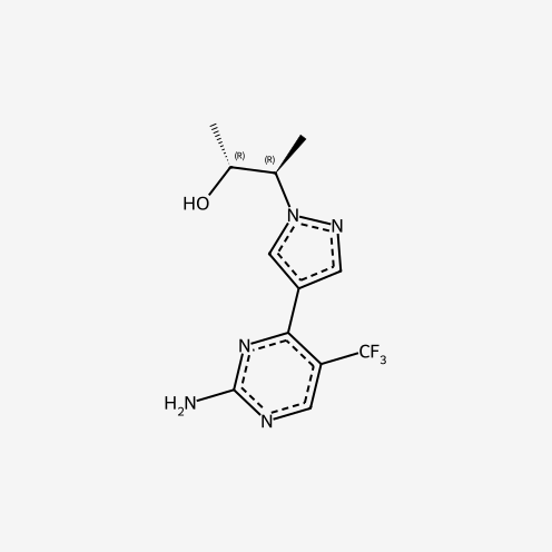 C[C@H]([C@@H](C)O)n1cc(-c2nc(N)ncc2C(F)(F)F)cn1